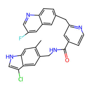 Cc1cc2[nH]cc(Cl)c2cc1CNC(=O)c1ccnc(Cc2ccc3ncc(F)cc3c2)c1